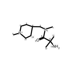 CN1CCC(CN(C)C(=O)C(C)(C)N)CC1